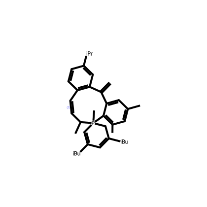 C=C1c2cc(C(C)C)ccc2/C=C\C(C)P2(C)(C=C(C(C)CC)C=C(C(C)CC)C2)c2c(C)cc(C)cc21